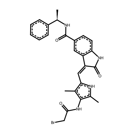 Cc1[nH]c(/C=C2\C(=O)Nc3ccc(C(=O)N[C@H](C)c4ccccc4)cc32)c(C)c1NC(=O)CBr